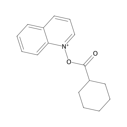 O=C(O[n+]1cccc2ccccc21)C1CCCCC1